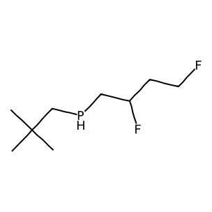 CC(C)(C)CPCC(F)CCF